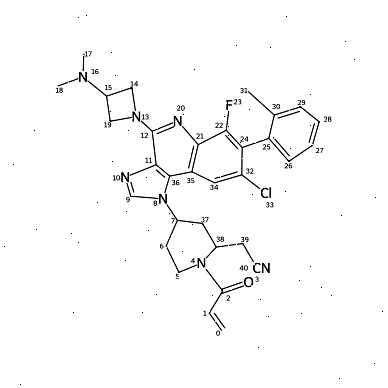 C=CC(=O)N1CCC(n2cnc3c(N4CC(N(C)C)C4)nc4c(F)c(-c5ccccc5C)c(Cl)cc4c32)CC1CC#N